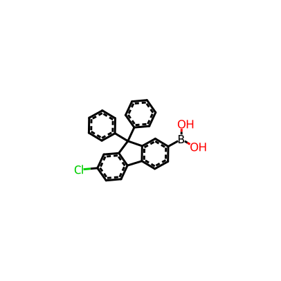 OB(O)c1ccc2c(c1)C(c1ccccc1)(c1ccccc1)c1cc(Cl)ccc1-2